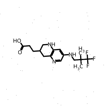 CC(C)(CNc1cnc2c(c1)NCC(CCC(=O)O)C2)C(F)(F)F